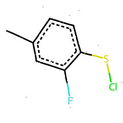 Cc1ccc(SCl)c(F)c1